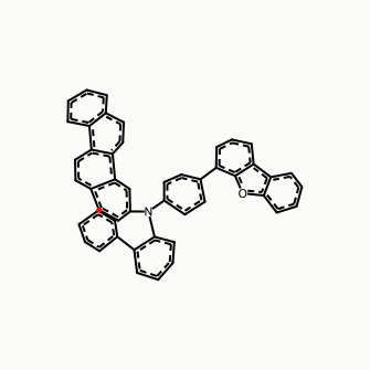 c1ccc(-c2ccccc2N(c2ccc(-c3cccc4c3oc3ccccc34)cc2)c2ccc3ccc4c5ccccc5ccc4c3c2)cc1